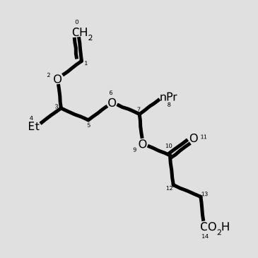 C=COC(CC)COC(CCC)OC(=O)CCC(=O)O